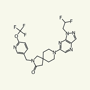 O=C1CC2(CCN(c3cnc4cnn(CC(F)F)c4n3)CC2)CN1Cc1ccc(OC(F)(F)F)nc1